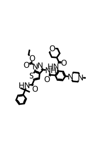 CCOC(=O)n1nc(NC(=O)c2ccc(N3CCN(C)CC3)cc2NC(=O)C2CCOCC2)c2cc(C(=O)NC(C)(C)c3ccccc3)sc21